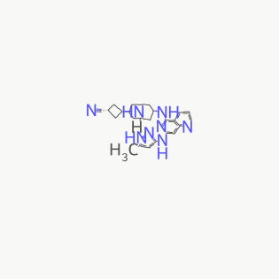 Cc1cc(Nc2cc3ncccc3c(N[C@@H]3CC4CC([C@H]5C[C@@H](C#N)C5)C[C@@H](C3)N4)n2)n[nH]1